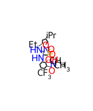 CC[C@@H](NC1=NS(=O)(=O)C=C1Nc1ccc(C(F)(F)F)c(C(=O)N(C)C)c1O)c1cc(C(C)C)co1